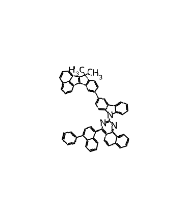 CC1(C)C2=C(c3cc(-c4ccc5c(c4)c4ccccc4n5-c4nc(-c5ccc(-c6ccccc6)c6ccccc56)c5ccc6ccccc6c5n4)ccc31)c1cccc3cccc2c13